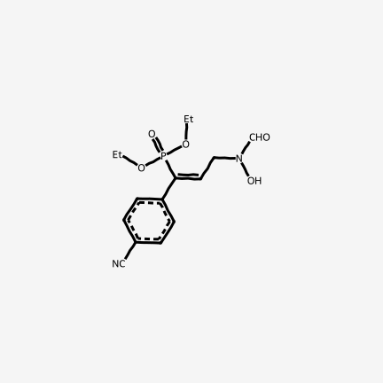 CCOP(=O)(OCC)C(=CCN(O)C=O)c1ccc(C#N)cc1